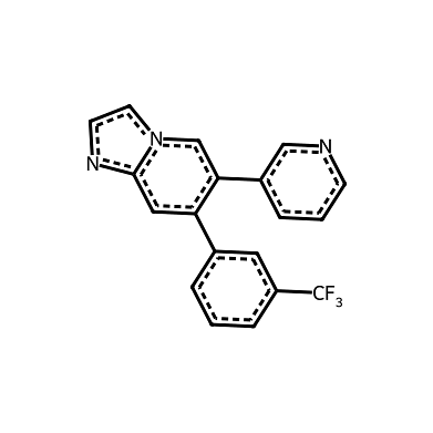 FC(F)(F)c1cccc(-c2cc3nccn3cc2-c2cccnc2)c1